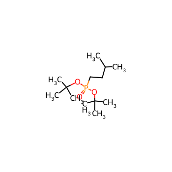 CC(C)CCP(=O)(OC(C)(C)C)OC(C)(C)C